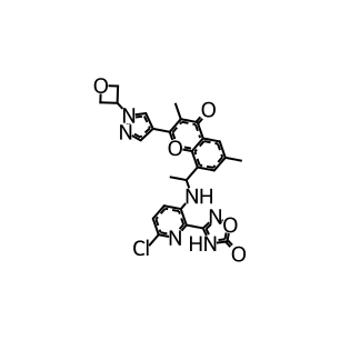 Cc1cc(C(C)Nc2ccc(Cl)nc2-c2noc(=O)[nH]2)c2oc(-c3cnn(C4COC4)c3)c(C)c(=O)c2c1